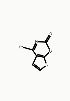 CCc1nc(=O)oc2sccc12